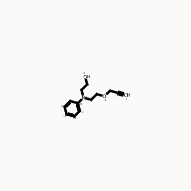 C#CCOCCN(CCO)c1ccccc1